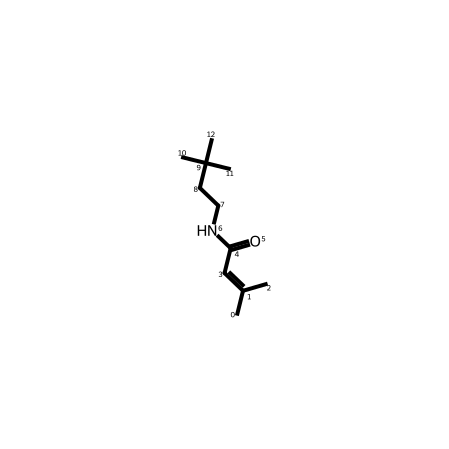 CC(C)=CC(=O)NCCC(C)(C)C